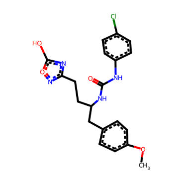 COc1ccc(CC(CCc2noc(O)n2)NC(=O)Nc2ccc(Cl)cc2)cc1